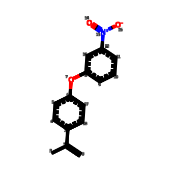 C=C(C)c1ccc(Oc2cccc([N+](=O)[O-])c2)cc1